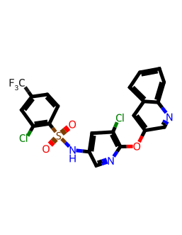 O=S(=O)(Nc1cnc(Oc2cnc3ccccc3c2)c(Cl)c1)c1ccc(C(F)(F)F)cc1Cl